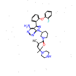 CC(C)(/C=C(/C#N)C(=O)N1CCC[C@H](n2nc(-c3ccccc3Oc3ccccc3F)c3c(N)ncnc32)C1)N1CCNCC1